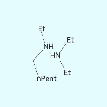 CCCCCCNCC.CCNCC